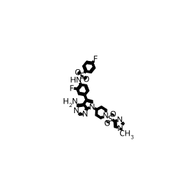 Cn1cnc(S(=O)(=O)N2CCC(n3cc(-c4ccc(NS(=O)(=O)c5ccc(F)cc5)c(F)c4)c4c(N)ncnc43)CC2)c1